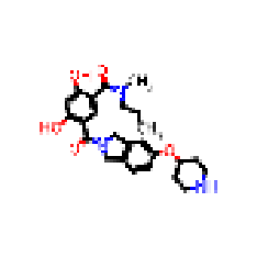 CCCN(C)C(=O)c1cc(C(=O)N2Cc3ccc(OC4CCNCC4)cc3C2)c(O)cc1O